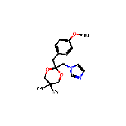 CCCC1(CCC)COC(Cc2ccc(OC(C)(C)C)cc2)(Cn2ccnc2)OC1